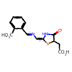 O=C(O)CC1S/C(=C/N=C/c2ccccc2C(=O)O)NC1=O